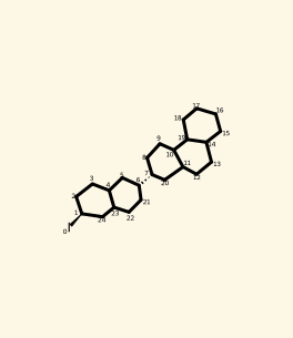 I[C@H]1CCC2CC([C@@H]3CCC4C(CCC5CCCCC54)C3)CCC2C1